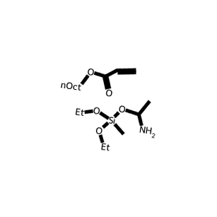 C=CC(=O)OCCCCCCCC.CCO[Si](C)(OCC)OC(C)N